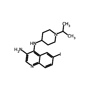 CC(C)N1CCC(Nc2c(N)cnc3ccc(I)cc23)CC1